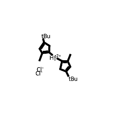 CC1=[C]([Hf+2][C]2=C(C)C=C(C(C)(C)C)C2)CC(C(C)(C)C)=C1.[Cl-].[Cl-]